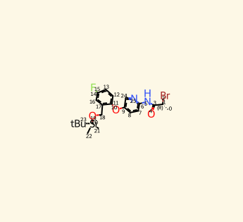 C[C@@H](Br)C(=O)Nc1ccc(Oc2ccc(F)cc2CO[Si](C)(C)C(C)(C)C)cn1